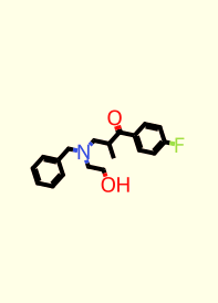 CC(CN(CCO)Cc1ccccc1)C(=O)c1ccc(F)cc1